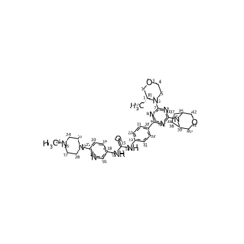 C[C@@H]1COCCN1c1nc(-c2ccc(NC(=O)Nc3ccc(N4CCN(C)CC4)nc3)cc2)nc(N2C3CCC2COC3)n1